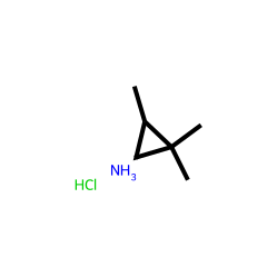 CC1CC1(C)C.Cl.N